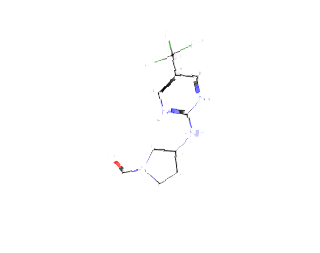 O=CN1CCC(Nc2ncc(C(F)(F)F)cn2)C1